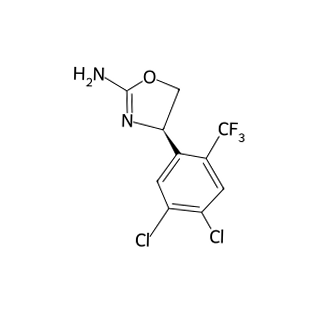 NC1=N[C@H](c2cc(Cl)c(Cl)cc2C(F)(F)F)CO1